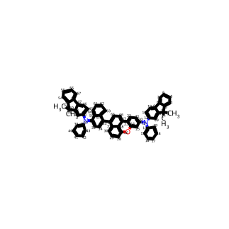 CC1(C)c2ccccc2-c2ccc(N(c3ccccc3)c3ccc4c(c3)Oc3cccc5c(-c6ccc(N(c7ccccc7)c7ccc8c(c7)C(C)(C)c7ccccc7-8)c7ccccc67)ccc-4c35)cc21